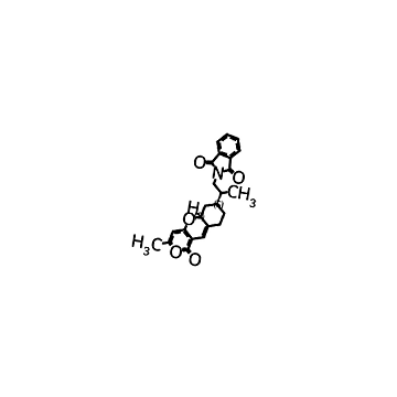 Cc1cc2c(c(=O)o1)C=C1CC[C@H](C(C)CN3C(=O)c4ccccc4C3=O)C[C@@H]1O2